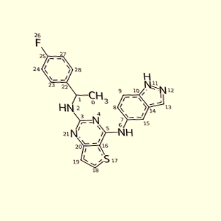 CC(Nc1nc(Nc2ccc3[nH]ncc3c2)c2sccc2n1)c1ccc(F)cc1